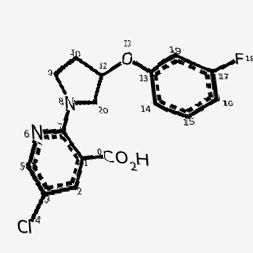 O=C(O)c1cc(Cl)cnc1N1CCC(Oc2cccc(F)c2)C1